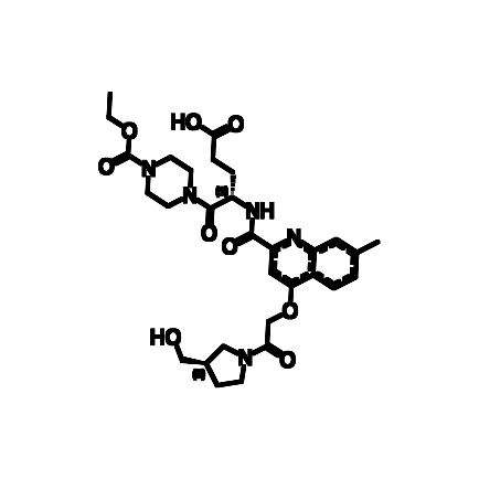 CCOC(=O)N1CCN(C(=O)[C@H](CCC(=O)O)NC(=O)c2cc(OCC(=O)N3CC[C@@H](CO)C3)c3ccc(C)cc3n2)CC1